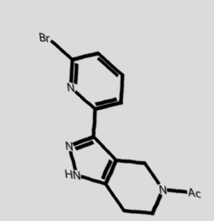 CC(=O)N1CCc2[nH]nc(-c3cccc(Br)n3)c2C1